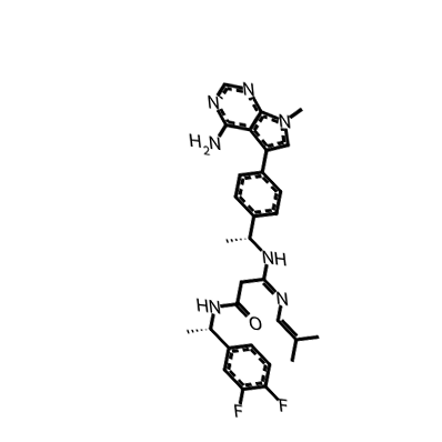 CC(C)=C/N=C(\CC(=O)N[C@@H](C)c1ccc(F)c(F)c1)N[C@H](C)c1ccc(-c2cn(C)c3ncnc(N)c23)cc1